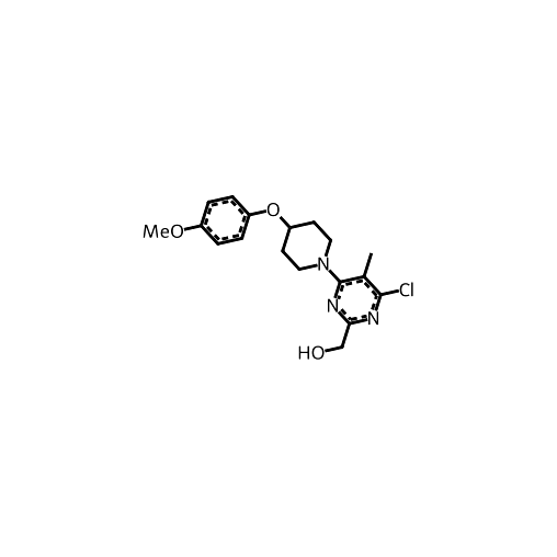 COc1ccc(OC2CCN(c3nc(CO)nc(Cl)c3C)CC2)cc1